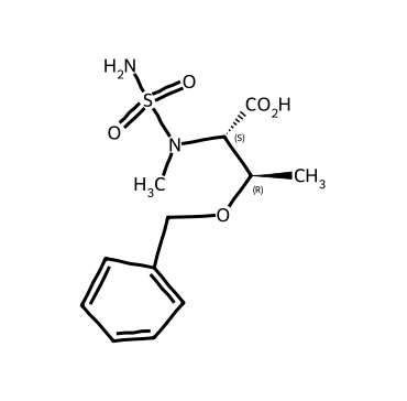 C[C@@H](OCc1ccccc1)[C@@H](C(=O)O)N(C)S(N)(=O)=O